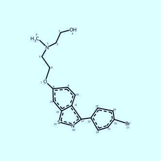 CN(CCO)CCOc1ccc2c(-c3ccc(Br)cc3)nsc2c1